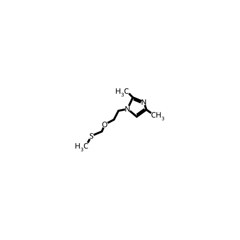 CSCOCCn1cc(C)nc1C